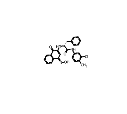 Cc1ccc(NC(=O)[C@@H](Cc2ccccc2)NC2=CC(=NO)c3ccccc3C2=O)cc1Cl